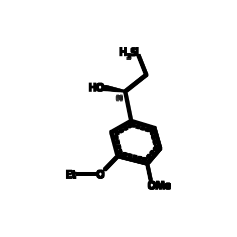 CCOc1cc([C@@H](O)C[SiH3])ccc1OC